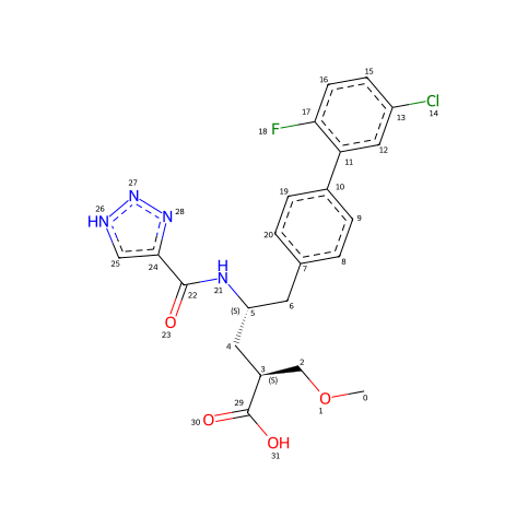 COC[C@H](C[C@@H](Cc1ccc(-c2cc(Cl)ccc2F)cc1)NC(=O)c1c[nH]nn1)C(=O)O